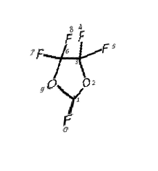 F[C]1OC(F)(F)C(F)(F)O1